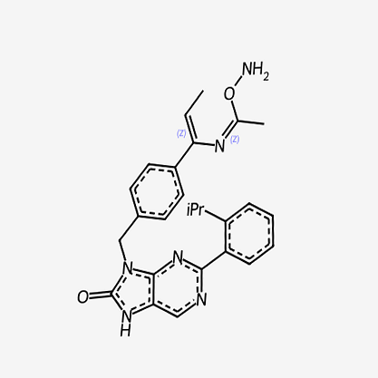 C/C=C(\N=C(\C)ON)c1ccc(Cn2c(=O)[nH]c3cnc(-c4ccccc4C(C)C)nc32)cc1